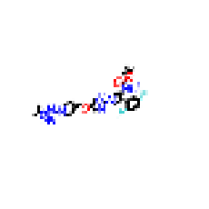 CC(C)n1nnc(N2CCC(COc3cnc(N4C[C@H](NC(=O)OC(C)(C)C)[C@@H](c5cc(F)ccc5F)C4)nc3)CC2)n1